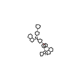 c1ccc(-c2ccc(N(c3ccc(-c4ccc(-c5cccc6ccn7c8ccccc8c(-c8ccccc8)c7c56)cc4)cc3)c3cccc4ccccc34)cc2)cc1